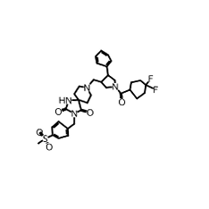 CS(=O)(=O)c1ccc(CN2C(=O)NC3(CCN(CC4CN(C(=O)C5CCC(F)(F)CC5)CC4c4ccccc4)CC3)C2=O)cc1